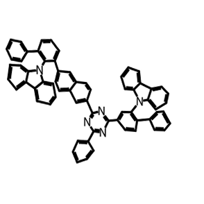 c1ccc(-c2nc(-c3ccc(-c4ccccc4)c(-n4c5ccccc5c5ccccc54)c3)nc(-c3ccc4cc(-c5cccc(-c6ccccc6)c5-n5c6ccccc6c6ccccc65)ccc4c3)n2)cc1